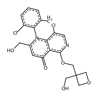 Cc1cccc(Cl)c1-n1c(CO)cc(=O)c2c(OCC3(CO)COC3)ncc(Cl)c21